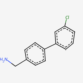 NCc1ccc(-c2[c]ccc(Cl)c2)cc1